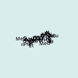 CCC[C@@H](CC)N(Cc1nc2ccc3cc4c(cc3c2[nH]1)OCc1cc(-c2cnc(CN(C(=O)CNC(=O)OC)[C@@H](C)CC)[nH]2)ccc1-4)C(=O)CNC(=O)OC